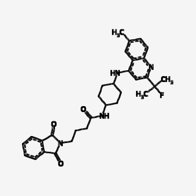 Cc1ccc2nc(C(C)(C)F)cc(NC3CCC(NC(=O)CCCN4C(=O)c5ccccc5C4=O)CC3)c2c1